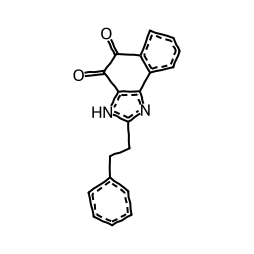 O=C1C(=O)c2[nH]c(CCc3ccccc3)nc2-c2ccccc21